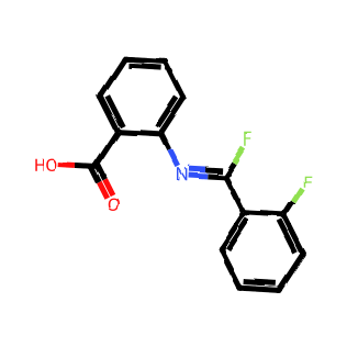 O=C(O)c1ccccc1N=C(F)c1ccccc1F